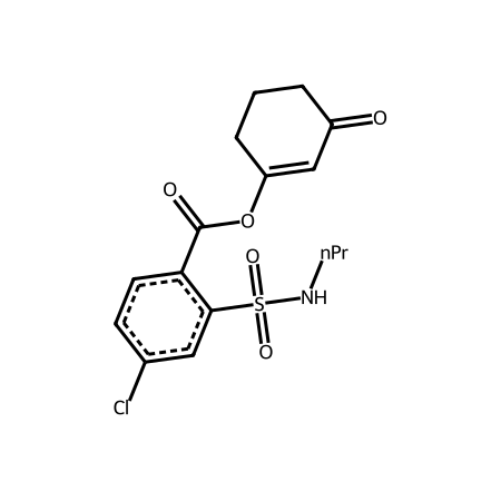 CCCNS(=O)(=O)c1cc(Cl)ccc1C(=O)OC1=CC(=O)CCC1